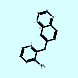 Nc1cccnc1Cc1ccc2nccnc2c1